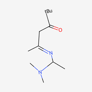 CC(CC(=O)C(C)(C)C)=NC(C)N(C)C